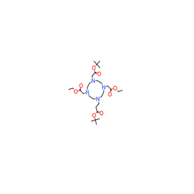 CCOC(=O)CN1CCN(CCC(=O)OC(C)(C)C)CCN(CC(=O)OCC)CCN(CC(=O)OC(C)(C)C)CC1